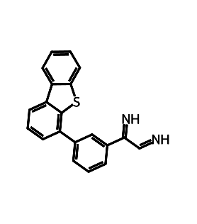 N=CC(=N)c1cccc(-c2cccc3c2sc2ccccc23)c1